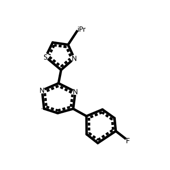 CC(C)c1csc(-c2n[c]cc(-c3ccc(F)cc3)n2)n1